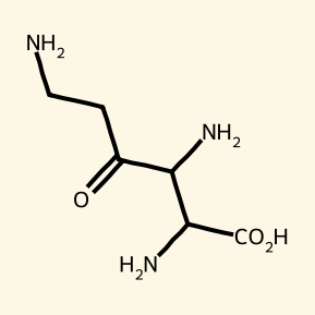 NCCC(=O)C(N)C(N)C(=O)O